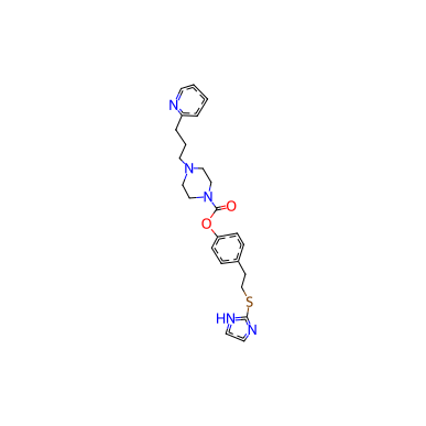 O=C(Oc1ccc(CCSc2ncc[nH]2)cc1)N1CCN(CCCc2ccccn2)CC1